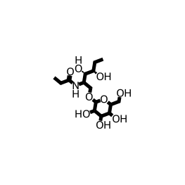 CCC(=O)NC(COC1OC(CO)C(O)C(O)C1O)[C@H](O)[C@H](O)CC